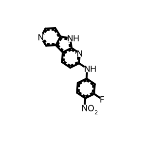 O=[N+]([O-])c1ccc(Nc2ccc3c(n2)[nH]c2ccncc23)cc1F